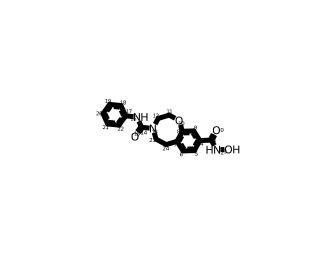 O=C(NO)c1ccc2c(c1)OCCN(C(=O)Nc1ccccc1)CC2